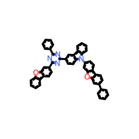 c1ccc(-c2ccc3c(c2)oc2cc(-n4c5ccccc5c5cc(-c6nc(-c7ccccc7)nc(-c7ccc8c(c7)oc7ccccc78)n6)ccc54)ccc23)cc1